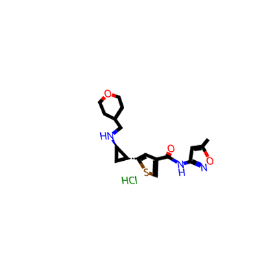 Cc1cc(NC(=O)c2csc([C@@H]3C[C@H]3NCC3CCOCC3)c2)no1.Cl